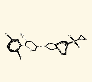 N[C@@H]1C[C@H](N2Cc3ccc(S(=O)(=O)C4CC4)cc3C2)CO[C@H]1c1cc(F)ccc1F